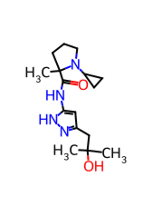 CC(C)(O)Cc1cc(NC(=O)C2(C)CCCN2C2CC2)[nH]n1